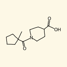 CC1(C(=O)N2CCC(C(=O)O)CC2)CCCC1